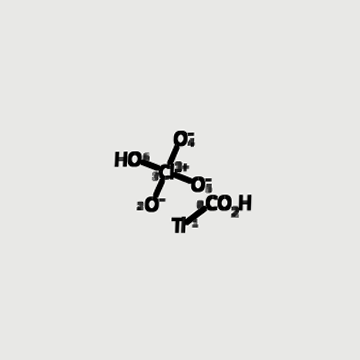 O=[C](O)[Tl].[O-][Cl+3]([O-])([O-])O